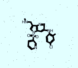 CNCc1cn(S(=O)(=O)c2cccnc2)c2cc(Nc3ccc(Cl)cc3C)cnc12